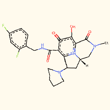 CCN1C[C@@H]2CC(N3CCCC3)c3c(C(=O)NCc4ccc(F)cc4F)c(=O)c(O)c(n32)C1=O